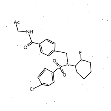 CC(=O)CNC(=O)c1ccc(CN(C2CCCCC2F)S(=O)(=O)c2ccc(Cl)cc2)cc1